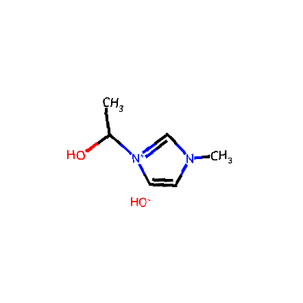 CC(O)[n+]1ccn(C)c1.[OH-]